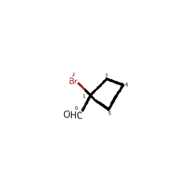 O=CC1(Br)CCC1